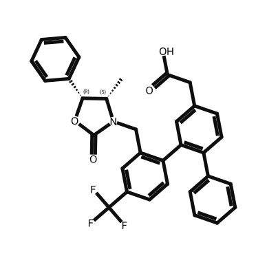 C[C@H]1[C@@H](c2ccccc2)OC(=O)N1Cc1cc(C(F)(F)F)ccc1-c1cc(CC(=O)O)ccc1-c1ccccc1